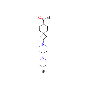 CCC(=O)[C@H]1CCC2(CC1)C[C@H](N1CCC(N3CCC(C(C)C)CC3)CC1)C2